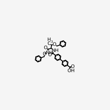 CC(OCc1ccccc1)C(NC(=O)c1ccc(-c2ccc(C(=O)O)cc2)cc1)C(=O)NOCc1ccccc1